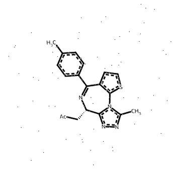 CC(=O)C[C@@H]1N=C(c2ccc(C)cc2)c2ccsc2-n2c(C)nnc21